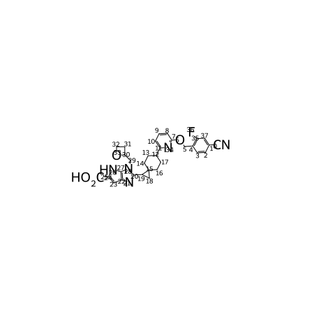 N#Cc1ccc(COc2cccc(C3CCC4(CC3)CC4c3nc4cc(C(=O)O)[nH]c4n3CC3CCO3)n2)c(F)c1